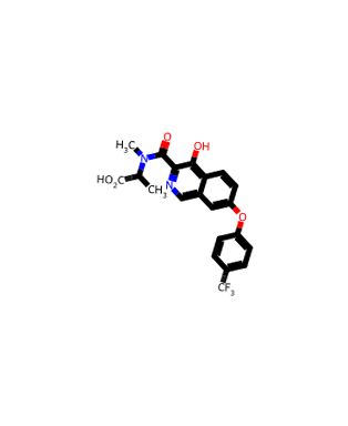 CC(C(=O)O)N(C)C(=O)c1ncc2cc(Oc3ccc(C(F)(F)F)cc3)ccc2c1O